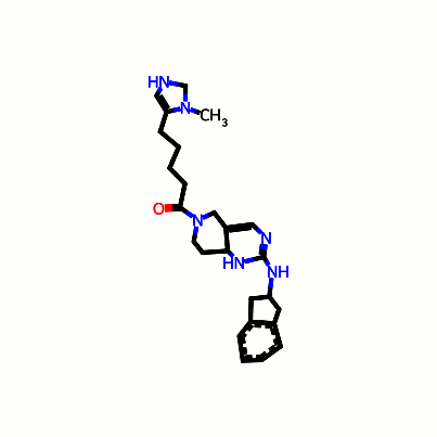 CN1CNC=C1CCCCC(=O)N1CCC2NC(NC3Cc4ccccc4C3)=NC=C2C1